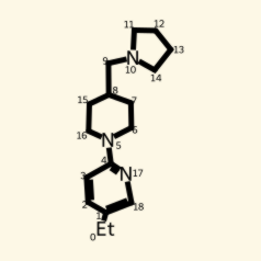 CCc1ccc(N2CCC(CN3CCCC3)CC2)nc1